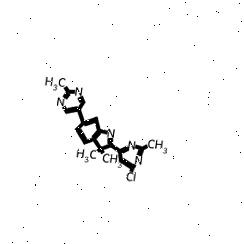 Cc1ncc(-c2ccc3c(c2)N=C(c2cc(Cl)nc(C)n2)C3(C)C)cn1